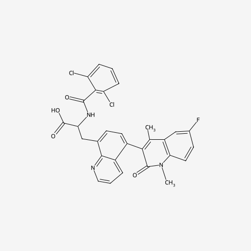 Cc1c(-c2ccc(CC(NC(=O)c3c(Cl)cccc3Cl)C(=O)O)c3ncccc23)c(=O)n(C)c2ccc(F)cc12